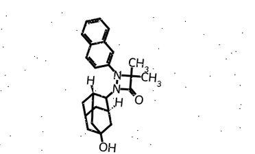 CC1(C)C(=O)N(C2[C@@H]3CC4C[C@H]2CC(O)(C4)C3)N1c1ccc2ccccc2c1